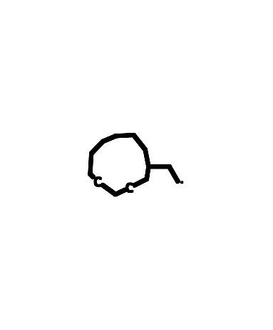 [CH2]CC1CCCCCCCCCC1